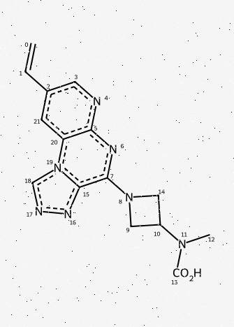 C=Cc1cnc2nc(N3CC(N(C)C(=O)O)C3)c3nncn3c2c1